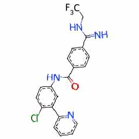 N=C(NCC(F)(F)F)c1ccc(C(=O)Nc2ccc(Cl)c(-c3ccccn3)c2)cc1